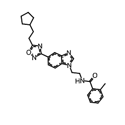 Cc1ccccc1C(=O)NCCn1cnc2cc(-c3noc(CCC4CCCC4)n3)ccc21